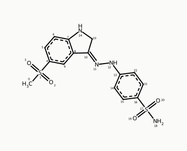 CS(=O)(=O)c1ccc2c(c1)C(=NNc1ccc(S(N)(=O)=O)cc1)CN2